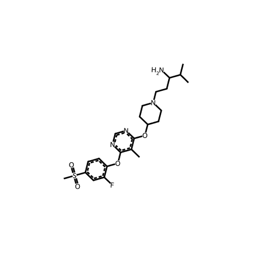 Cc1c(Oc2ccc(S(C)(=O)=O)cc2F)ncnc1OC1CCN(CCC(N)C(C)C)CC1